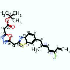 C=C/C(F)=C\C=C(/C)CC1=CC2SC(Cc3nnc(CC(=O)OC(C)(C)C)o3)=NC2C=C1